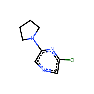 Clc1cncc(N2CCCC2)n1